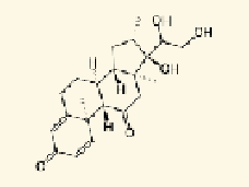 C[C@H]1C[C@H]2[C@@H]3CCC4=CC(=O)C=C[C@]4(C)[C@H]3C(=O)C[C@]2(C)[C@@]1(O)C(O)CO